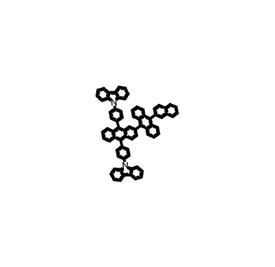 c1ccc2cc(-c3c4ccccc4c(-c4ccc5c(-c6ccc(-n7c8ccccc8c8ccccc87)cc6)c6ccccc6c(-c6ccc(-n7c8ccccc8c8ccccc87)cc6)c5c4)c4ccccc34)ccc2c1